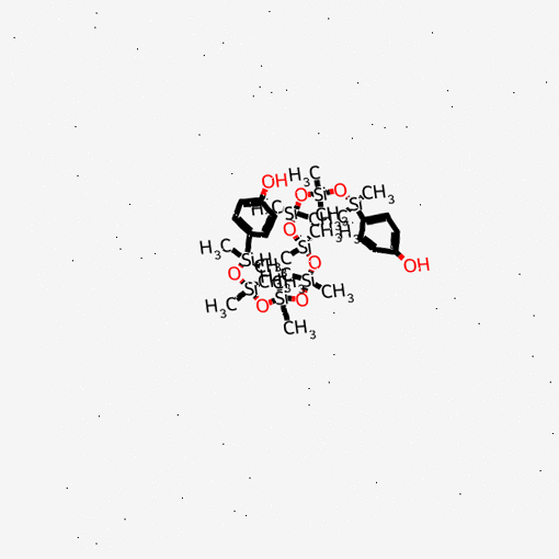 C[Si](C)(O[Si](C)(C)O[Si](C)(C)O[Si](C)(C)O[Si](C)(C)c1ccc(O)cc1)O[Si](C)(C)O[Si](C)(C)O[Si](C)(C)c1ccc(O)cc1